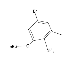 CCCCOc1cc(Br)cc(C)c1N